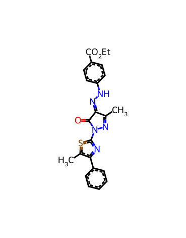 CCOC(=O)c1ccc(N/N=C2/C(=O)N(c3nc(-c4ccccc4)c(C)s3)N=C2C)cc1